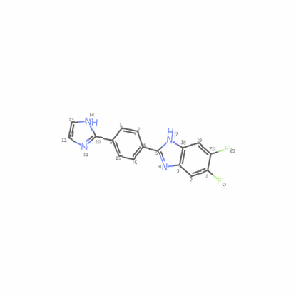 Fc1cc2nc(-c3ccc(-c4ncc[nH]4)cc3)[nH]c2cc1F